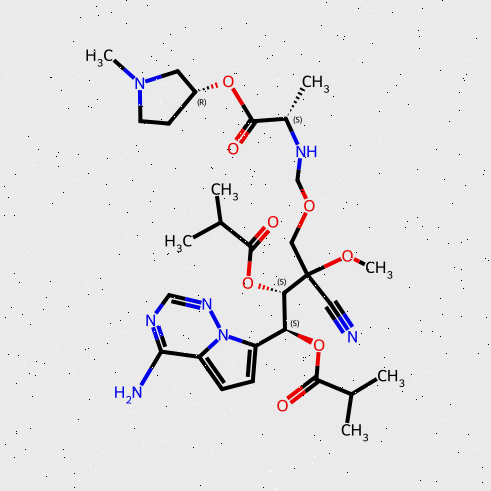 COC(C#N)(COCN[C@@H](C)C(=O)O[C@@H]1CCN(C)C1)[C@@H](OC(=O)C(C)C)[C@@H](OC(=O)C(C)C)c1ccc2c(N)ncnn12